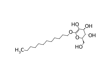 CCCCCCCCCCCCOC1=C(O)[C@@H](O)[C@H](O)[C@@H](CO)O1